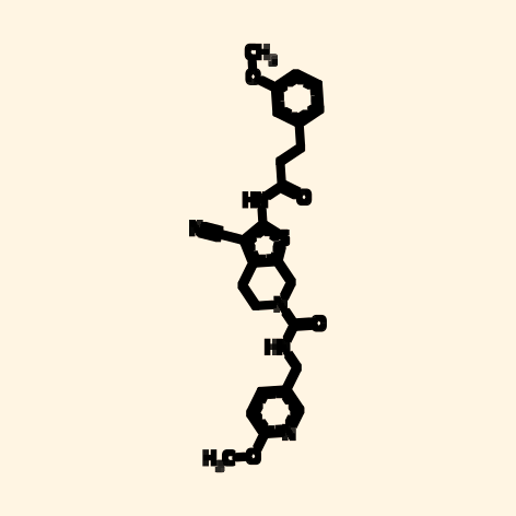 COc1cccc(CCC(=O)Nc2sc3c(c2C#N)CCN(C(=O)NCc2ccc(OC)nc2)C3)c1